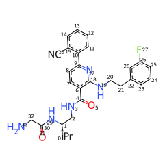 CC(C)[C@H](CNC(=O)c1ccc(-c2ccccc2C#N)nc1NCCc1cccc(F)c1)NC(=O)CN